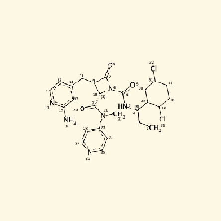 CC[C@@H](NC(=O)N1C(=O)C(Cc2ccnc(N)c2)[C@H]1C(=O)N(C)c1ccncc1)C1CC(Cl)CCC1Cl